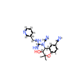 CC1(C)Oc2ccc(C#N)cc2C(N(C#N)C(=N)NCc2cccnc2)C1O